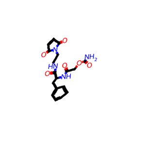 NC(=O)OCC(=O)NC(Cc1ccccc1)C(=O)NCCN1C(=O)C=CC1=O